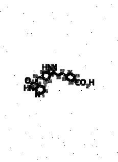 O=C1Nc2ncccc2C1=Cc1ccc2c(C=Cc3ccc(C(=O)O)cc3)n[nH]c2c1